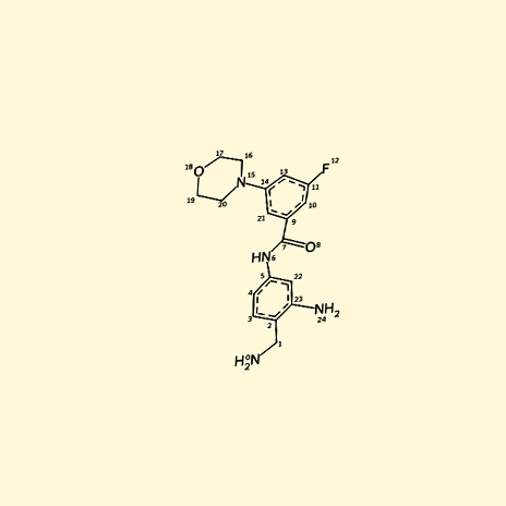 NCc1ccc(NC(=O)c2cc(F)cc(N3CCOCC3)c2)cc1N